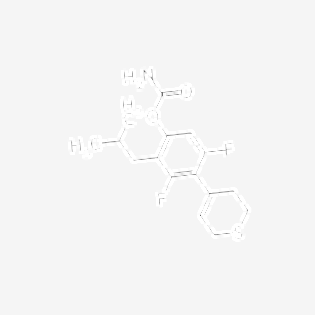 CC(C)Cc1c(OC(N)=O)cc(F)c(C2=CCSCC2)c1F